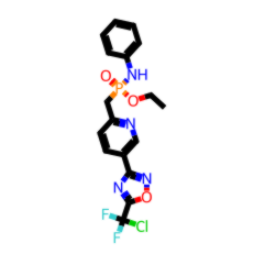 CCOP(=O)(Cc1ccc(-c2noc(C(F)(F)Cl)n2)cn1)Nc1ccccc1